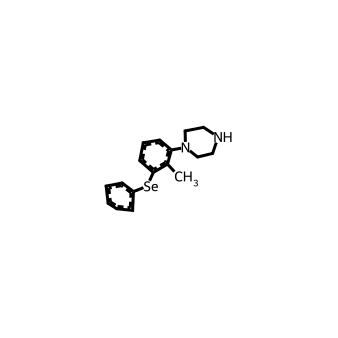 Cc1c([Se]c2ccccc2)cccc1N1CCNCC1